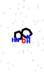 O=C1NCCCC12CCCCNC2